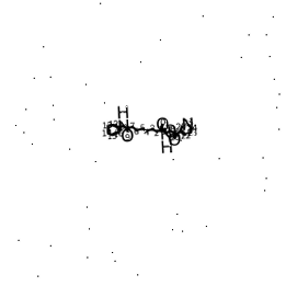 O=C(CCCCCCC(=O)Nc1ccccc1)NOC(=O)c1cccnc1